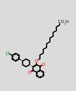 O=C(O)CCCCCCCCCCCCCOC1=C([C@H]2CC[C@H](c3ccc(Cl)cc3)CC2)C(=O)c2ccccc2C1=O